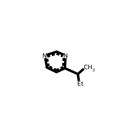 CCC(C)c1c[c]ncn1